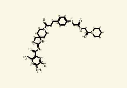 Nc1nc(N)c(C(=O)/N=C2\NCC3(CCN(C(=O)CCc4ccc(OCC(=O)OCC(=O)N5CCCCC5)cc4)CC3)N2)nc1Cl